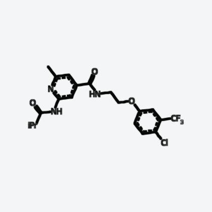 Cc1cc(C(=O)NCCOc2ccc(Cl)c(C(F)(F)F)c2)cc(NC(=O)C(C)C)n1